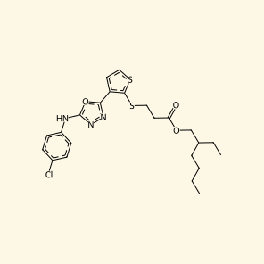 CCCCC(CC)COC(=O)CCSc1sccc1-c1nnc(Nc2ccc(Cl)cc2)o1